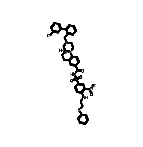 O=C(NS(=O)(=O)c1ccc(NCCSc2ccccc2)c([N+](=O)[O-])c1)c1ccc2c(c1)CC[C@H]1CN(Cc3ccccc3-c3cccc(Cl)c3)CCN21